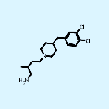 CC(CN)CCN1CCC(Cc2ccc(Cl)c(Cl)c2)CC1